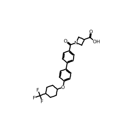 O=C(O)C1CN(C(=O)c2ccc(-c3ccc(OC4CCC(C(F)(F)F)CC4)cc3)cc2)C1